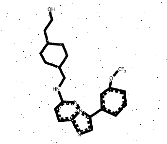 OCCC1CCC(CNc2ccc3ncc(-c4cccc(OC(F)(F)F)c4)n3n2)CC1